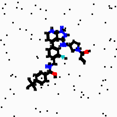 C=CC(=O)N1CC[C@H](Nc2n[nH]c3nccc(-c4ccc(CNC(=O)c5ccc(C(C)(C)C)cc5)c(F)c4)c23)C1